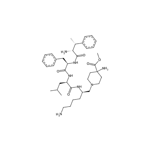 COC(=O)C1(N)CCN(C[C@@H](CCCCN)NC(=O)[C@@H](CC(C)C)NC(=O)[C@@H](Cc2ccccc2)NC(=O)[C@H](N)[C@H](C)c2ccccc2)CC1